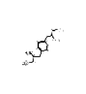 [SiH3]C(Cc1ccc(CC([SiH3])CC(Cl)(Cl)Cl)cc1)CC(Cl)(Cl)Cl